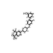 Cc1cc(CN2CCN(c3cc(C(C)(C)C)c(C(=O)O)nn3)CC2)ccc1-c1cncc(O)c1